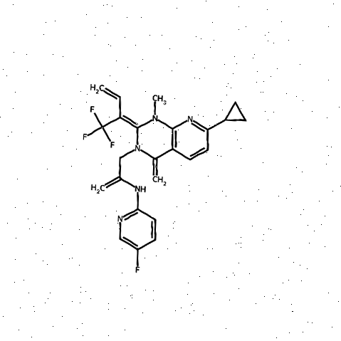 C=C/C(=C1/N(CC(=C)Nc2ccc(F)cn2)C(=C)c2ccc(C3CC3)nc2N1C)C(F)(F)F